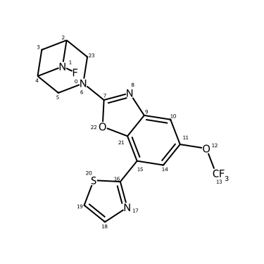 FN1C2CC1CN(c1nc3cc(OC(F)(F)F)cc(-c4nccs4)c3o1)C2